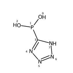 OP(O)c1nnn[nH]1